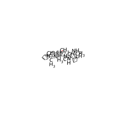 C[C@H]1C2C=CC1C(C(C)(C)NCC1CC3C(C(C)(C)NCC4C5CC(C(C)(C)N)[C@H]4C5)C1[C@H]3C)C2